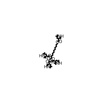 CC1(C)CC(C(=O)OCCCCCCCCCCC(OC(=O)C2CC(C)(C)NC2(C)C)C(OC(=O)C2CC(C)(C)NC2(C)C)OC(=O)C2CC(C)(C)NC2(C)C)C(C)(C)N1